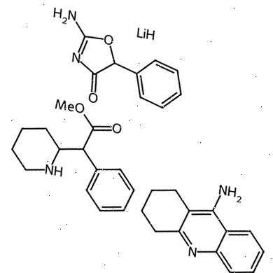 COC(=O)C(c1ccccc1)C1CCCCN1.NC1=NC(=O)C(c2ccccc2)O1.Nc1c2c(nc3ccccc13)CCCC2.[LiH]